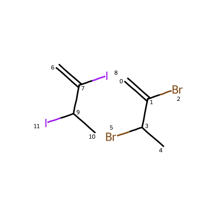 C=C(Br)C(C)Br.C=C(I)C(C)I